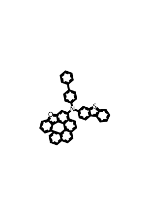 c1ccc(-c2ccc(N(c3ccc4c(c3)sc3ccccc34)c3cc4oc5cccc6c5c4c4c3ccc3ccc5cccc-6c5c34)cc2)cc1